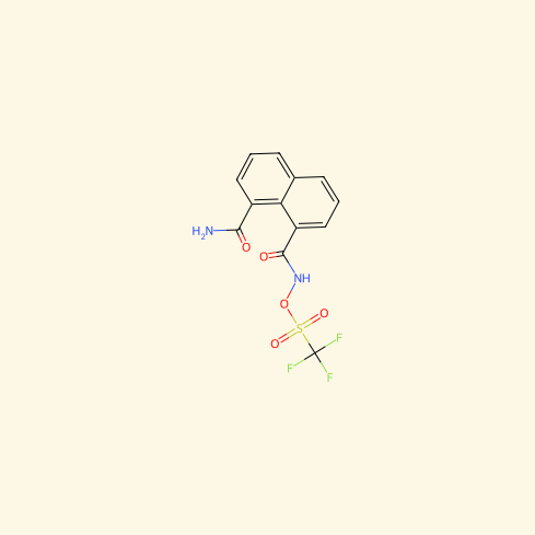 NC(=O)c1cccc2cccc(C(=O)NOS(=O)(=O)C(F)(F)F)c12